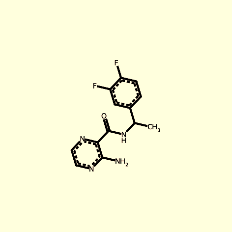 CC(NC(=O)c1nccnc1N)c1ccc(F)c(F)c1